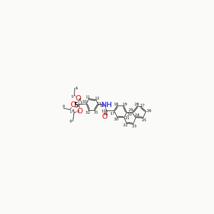 CCO[Si](OCC)(OCC)c1ccc(NC(=O)c2ccc3c(ccc4ccccc43)c2)cc1